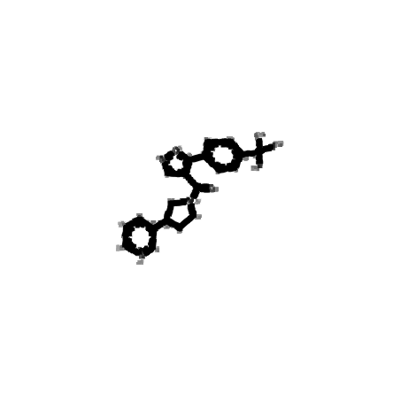 O=C(c1cnoc1-c1ccc(C(F)(F)F)cc1)N1CCC(c2cccnc2)C1